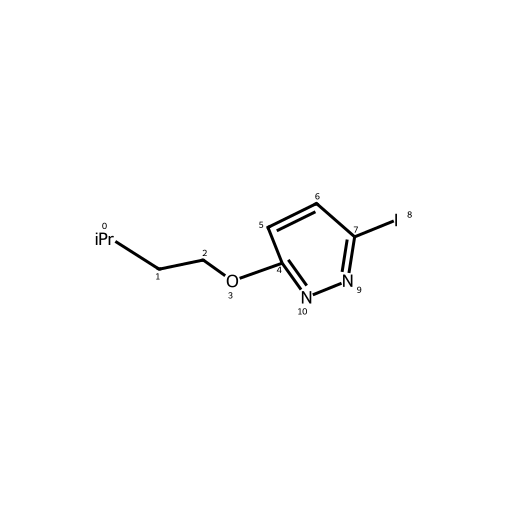 CC(C)CCOc1ccc(I)nn1